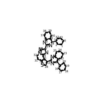 c1ccc(-c2nc(-c3nc4c5c(-c6nc(-c7ccccc7)c7ccccc7n6)csc5ccn4n3)nc3ccccc23)cc1